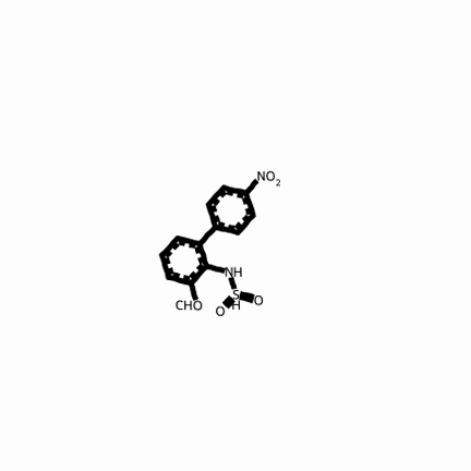 O=Cc1cccc(-c2ccc([N+](=O)[O-])cc2)c1N[SH](=O)=O